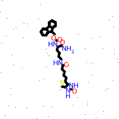 NC(=O)C(CCCCNC(=O)CCCCC1SCC2NC(=O)NC21)NC(=O)OCC1c2ccccc2-c2ccccc21